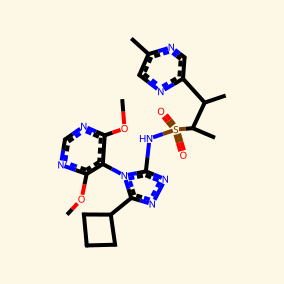 COc1ncnc(OC)c1-n1c(NS(=O)(=O)C(C)C(C)c2cnc(C)cn2)nnc1C1CCC1